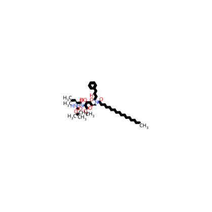 CCCCCCCCCCCCCCCCCC(=O)N(CCCCc1ccccc1)C[C@H]1O[C@H](OC)[C@@H](NC(=O)[C@H](CC(C)C)NC(=O)OC(C)(C)C)[C@@H](O)[C@@H]1O